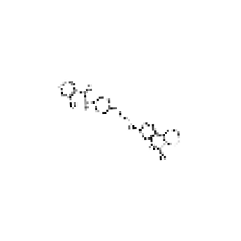 O=C(NC1CCN(CCCOc2ccc3c4c(c(=O)oc3c2)CCCC4)CC1)c1ccccc1O